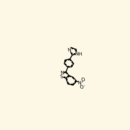 O=[N+]([O-])c1ccc2snc(-c3ccc(-c4ncc[nH]4)cc3)c2c1